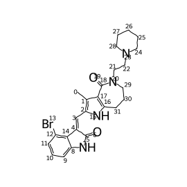 Cc1c(C=C2C(=O)Nc3cccc(Br)c32)[nH]c2c1C(=O)N(CCN1CCCCC1)CCC2